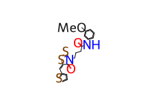 COc1cccc(NC(=O)CCCN2C(=O)/C(=C\c3cccs3)SC2=S)c1